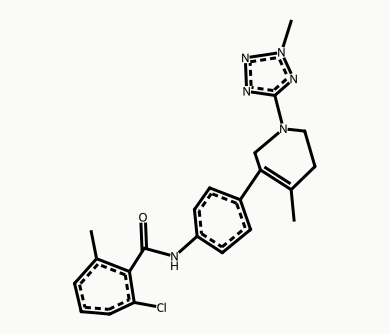 CC1=C(c2ccc(NC(=O)c3c(C)cccc3Cl)cc2)CN(c2nnn(C)n2)CC1